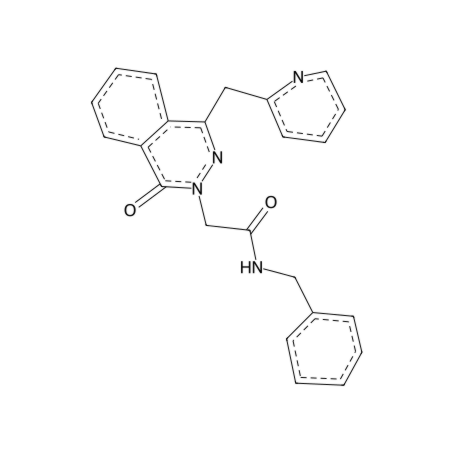 O=C(Cn1nc(Cc2ccccn2)c2ccccc2c1=O)NCc1ccccc1